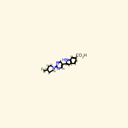 O=C(O)c1ccc2cc(-c3cnc(N4CCC(CF)CC4)nc3)[nH]c2c1